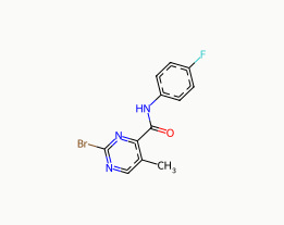 Cc1cnc(Br)nc1C(=O)Nc1ccc(F)cc1